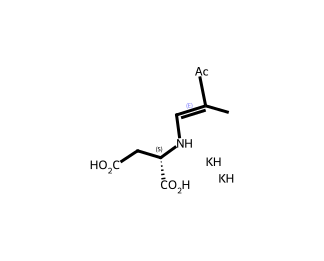 CC(=O)/C(C)=C/N[C@@H](CC(=O)O)C(=O)O.[KH].[KH]